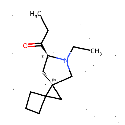 CCC(=O)[C@@H]1C[C@]2(CN1CC)CC21CCC1